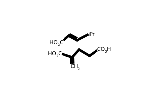 C=C(CCC(=O)O)C(=O)O.CC(C)C=CC(=O)O